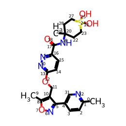 Cc1ccc(-c2noc(C)c2COc2ccc(C(=O)NC3(C)CCS(O)(O)CC3)nn2)cn1